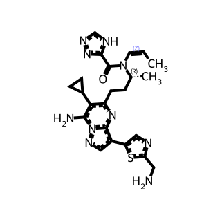 C/C=C\N(C(=O)c1nnc[nH]1)[C@H](C)CCc1nc2c(-c3cnc(CN)s3)cnn2c(N)c1C1CC1